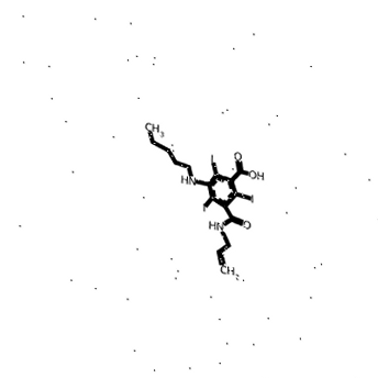 C=CCNC(=O)c1c(I)c(NCCCCC)c(I)c(C(=O)O)c1I